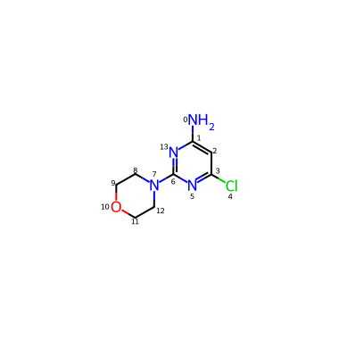 Nc1cc(Cl)nc(N2CCOCC2)n1